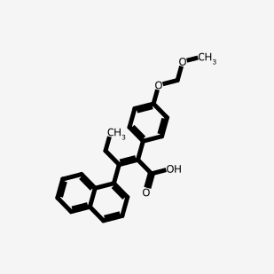 CCC(=C(C(=O)O)c1ccc(OCOC)cc1)c1cccc2ccccc12